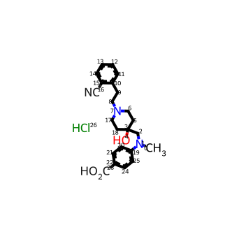 CN(CC1(O)CCN(CCc2ccccc2C#N)CC1)c1ccc(C(=O)O)cc1.Cl